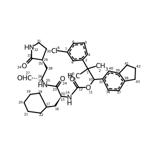 CC(C)(c1cccc(Cl)c1)C(OC(=O)N[C@@H](CC1CCCCC1)C(=O)N[C@H](C=O)C[C@@H]1CCNC1=O)c1ccc2c(c1)CCC2